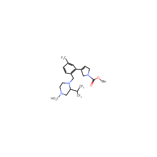 CC(C)(C)OC(=O)N1CC=C(c2cc(C(F)(F)F)ccc2CN2CCN(C(=O)O)CC2C(C(F)(F)F)C(F)(F)F)C1